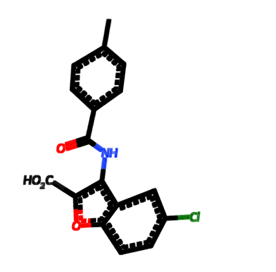 Cc1ccc(C(=O)Nc2c(C(=O)O)oc3ccc(Cl)cc23)cc1